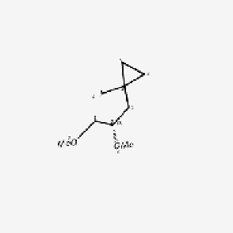 COC[C@H](CC1(I)CC1)OC